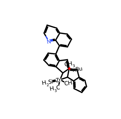 CCCCC1=Cc2c(-c3cccc4cccnc34)cccc2[CH]1[Zr]([CH3])([CH3])(=[SiH2])[CH]1C(C)=Cc2ccccc21